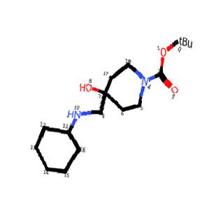 CC(C)(C)OC(=O)N1CCC(O)(CNC2CCCCC2)CC1